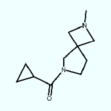 CN1CC2(CCN(C(=O)C3CC3)C2)C1